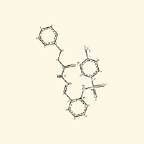 O=C(CCc1ccccc1)NN=Cc1ccccc1OS(=O)(=O)c1ccc(C(F)(F)F)cc1